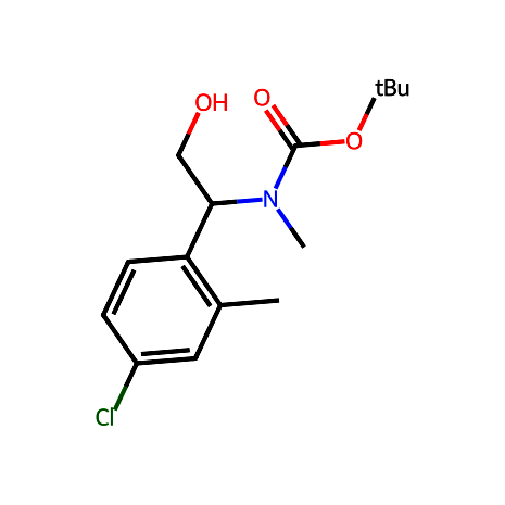 Cc1cc(Cl)ccc1C(CO)N(C)C(=O)OC(C)(C)C